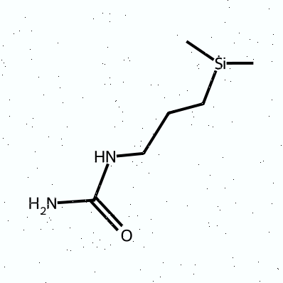 C[Si](C)CCCNC(N)=O